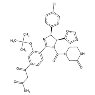 CC(C)(C)Oc1cc(C(=O)CC(N)=O)ccc1C1=N[C@@H](c2ccc(Cl)cc2)[C@@H](c2cnco2)N1C(=O)N1CCNC(=O)C1